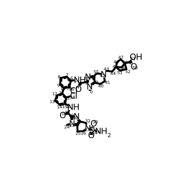 Cn1c(C(=O)Nc2cccc(-c3cccc(NC(=O)c4nc5c(n4C)CCN(S(N)(=O)=O)C5)c3Cl)c2Cl)nc2c1CCN(CCC13CCC(C(=O)O)(CC1)C3)C2